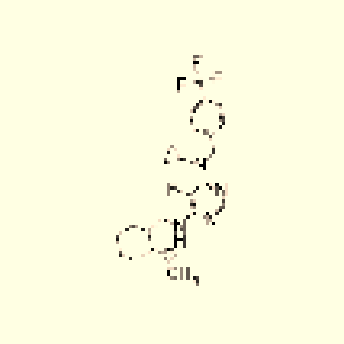 COC1CCCCC1CNc1ncnc(N(Cc2ccc(C(F)(F)F)cc2)C2CC2)c1F